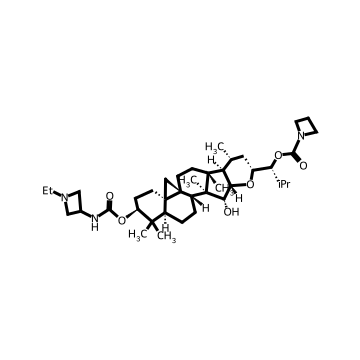 CCN1CC(NC(=O)O[C@H]2CC[C@]34C[C@]35CC[C@]3(C)[C@@H]6[C@H](O[C@@H]([C@H](OC(=O)N7CCC7)C(C)C)C[C@H]6C)[C@H](O)[C@@]3(C)[C@@H]5CC[C@H]4C2(C)C)C1